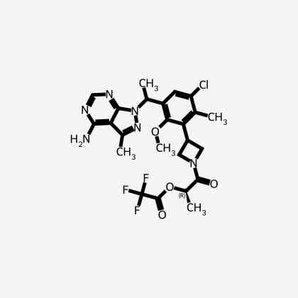 COc1c(C(C)n2nc(C)c3c(N)ncnc32)cc(Cl)c(C)c1C1CN(C(=O)[C@@H](C)OC(=O)C(F)(F)F)C1